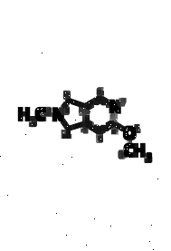 COc1cc2c(cn1)CN(C)C2